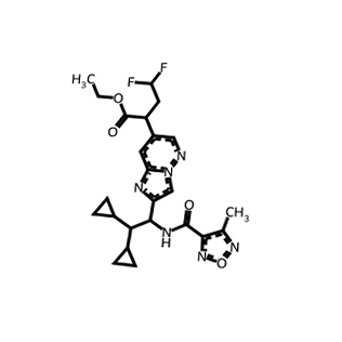 CCOC(=O)C(CC(F)F)c1cnn2cc(C(NC(=O)c3nonc3C)C(C3CC3)C3CC3)nc2c1